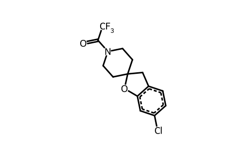 O=C(N1CCC2(CC1)Cc1ccc(Cl)cc1O2)C(F)(F)F